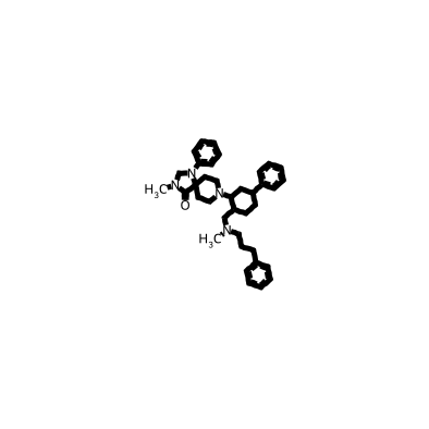 CN(CCCc1ccccc1)CC1CCC(c2ccccc2)CC1N1CCC2(CC1)C(=O)N(C)CN2c1ccccc1